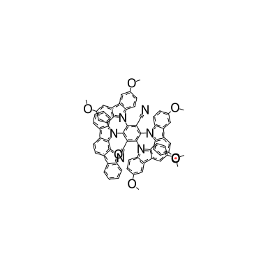 COc1ccc2c(c1)c1cc(OC)ccc1n2-c1c(C#N)c(-n2c3ccc(OC)cc3c3cc(OC)ccc32)c(-n2c3ccccc3c3ccc4c5ccccc5oc4c32)c(C#N)c1-n1c2ccc(OC)cc2c2cc(OC)ccc21